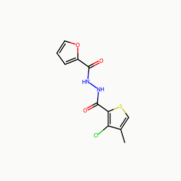 Cc1csc(C(=O)NNC(=O)c2ccco2)c1Cl